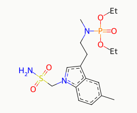 CCOP(=O)(OCC)N(C)CCc1cn(CS(N)(=O)=O)c2ccc(C)cc12